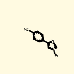 CC(C)n1cnc(-c2ccc(C#N)cc2)c1